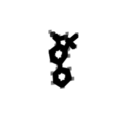 CC1(C)OC(=O)c2ccc(-c3ccccc3)cc21